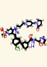 CS(=O)(=O)N1CCc2c(c(-c3ccc(Cl)c(-c4cccc(C(=O)NCc5ncco5)c4)c3)nn2CCCN2CCC(N3CCCC3=O)CC2)C1